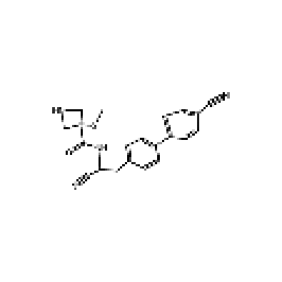 CSC1(C(=O)NC(C#N)Cc2ccc(-c3ccc(C#N)cc3)cc2)CNC1